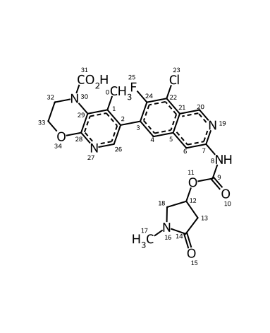 Cc1c(-c2cc3cc(NC(=O)OC4CC(=O)N(C)C4)ncc3c(Cl)c2F)cnc2c1N(C(=O)O)CCO2